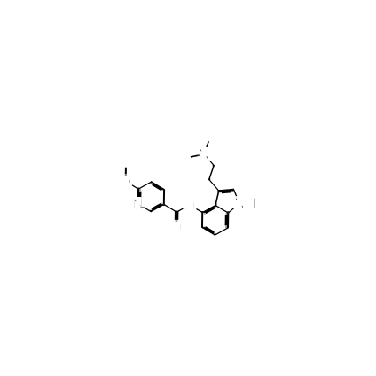 COc1ccc(C(=O)Oc2cccc3[nH]cc(CCN(C)C)c23)cn1